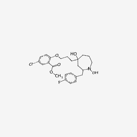 COC(=O)c1cc(Cl)ccc1OCCCC1(O)CCCN(O)C(Cc2ccc(F)cc2)C1